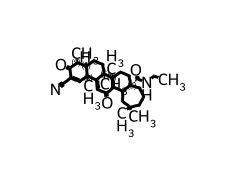 CCNC(=O)[C@]12CCCC(C)(C)CC1C1C(=O)C=C3[C@@]4(C)C=C(C#N)C(=O)[C@@H](C)[C@@H]4CC[C@@]3(C)[C@]1(C)CC2